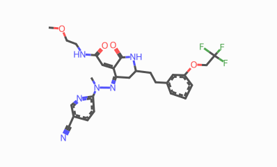 COCCNC(=O)/C=C1\C(=O)NC(CCc2cccc(OCC(F)(F)F)c2)C\C1=N\N(C)c1ccc(C#N)cn1